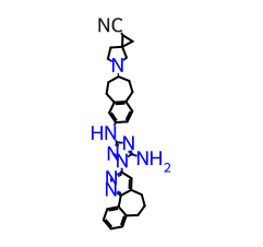 N#CC1CC12CCN([C@@H]1CCc3ccc(Nc4nc(N)n(-c5cc6c(nn5)-c5ccccc5CCC6)n4)cc3CC1)C2